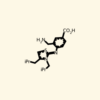 CC(C)Cc1csc(=Nc2ccc(C(=O)O)cc2CN)n1CC(C)C